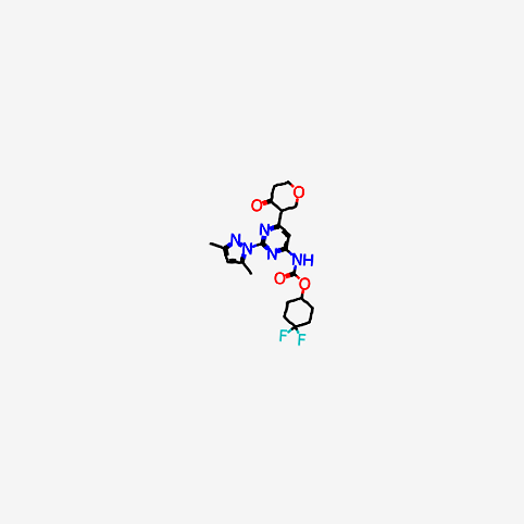 Cc1cc(C)n(-c2nc(NC(=O)OC3CCC(F)(F)CC3)cc(C3COCCC3=O)n2)n1